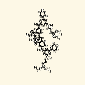 CN(C)CCCNc1nc(Nc2ccc(/C=C/c3ccc(Nc4nc(NCCCN(C)C)nc(N5CCOCC5)n4)cc3S(=O)(=O)O)c(S(=O)(=O)O)c2)nc(N2CCOCC2)n1